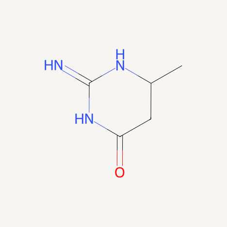 CC1CC(=O)NC(=N)N1